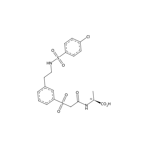 C[C@H](NC(=O)CS(=O)(=O)c1cccc(CCNS(=O)(=O)c2ccc(Cl)cc2)c1)C(=O)O